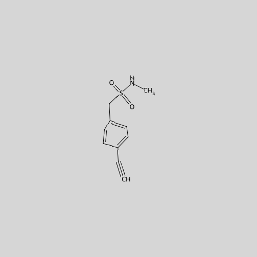 C#Cc1ccc(CS(=O)(=O)NC)cc1